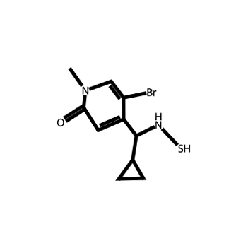 Cn1cc(Br)c(C(NS)C2CC2)cc1=O